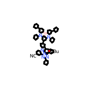 CCCCc1ccc2c(c1)c1cc(-c3cc4c5c(c3)N(c3ccccc3)c3cc(-c6ccccc6)ccc3B5c3ccc(-c5ccccc5)cc3N4c3ccccc3)ccc1n2-c1ccc(C#N)cc1-c1nc(-c2ccccc2)nc(-c2ccccc2)n1